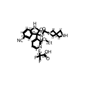 CCOc1ncccc1C1(NC(=O)N2CC3(CNC3)C2)C(=O)Nc2ccc(C#N)cc21.O=C(O)C(F)(F)F